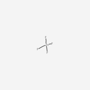 [F][Zn]([F])([F])[F]